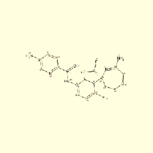 NC1=N[C@](C(F)F)(C2CC(NC(=O)c3ccc(N)cn3)=CC=C2F)CCOC1